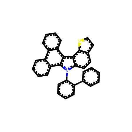 c1ccc(-c2ccccc2-n2c3ccc4ccsc4c3c3c4ccccc4c4ccccc4c32)cc1